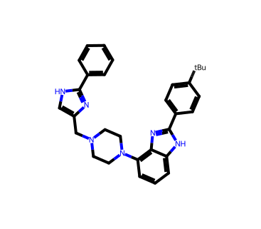 CC(C)(C)c1ccc(-c2nc3c(N4CCN(Cc5c[nH]c(-c6ccccc6)n5)CC4)cccc3[nH]2)cc1